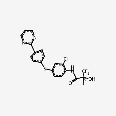 C[C@@](O)(C(=O)Nc1ccc(Sc2ccc(-c3ncccn3)cc2)cc1Cl)C(F)(F)F